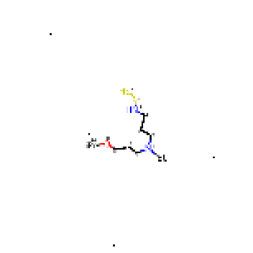 CCN(CCCNSS)CCCOC(C)C